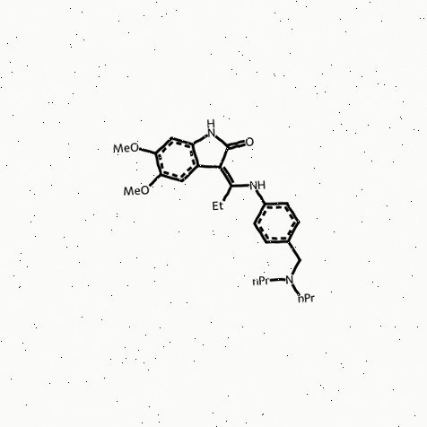 CCCN(CCC)Cc1ccc(N/C(CC)=C2\C(=O)Nc3cc(OC)c(OC)cc32)cc1